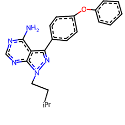 CC(C)CCn1nc(-c2ccc(Oc3ccccc3)cc2)c2c(N)ncnc21